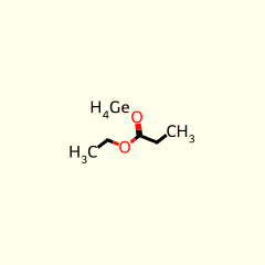 CCOC(=O)CC.[GeH4]